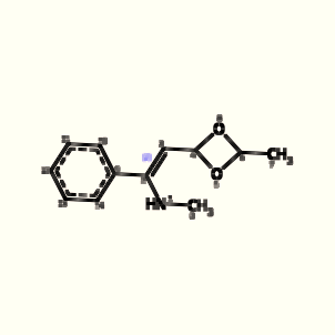 CN/C(=C\C1OC(C)O1)c1ccccc1